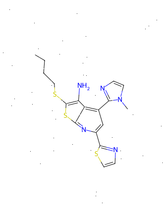 CCCCSc1sc2nc(-c3nccs3)cc(-c3nccn3C)c2c1N